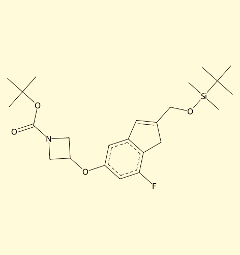 CC(C)(C)OC(=O)N1CC(Oc2cc(F)c3c(c2)C=C(CO[Si](C)(C)C(C)(C)C)C3)C1